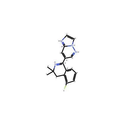 CC1(C)Cc2c(F)cccc2C(c2cnn3ccnc3c2)=N1